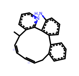 CC1/C=C\C=C/Cc2ccccc2-c2cccc(N)c2-c2ncccc21